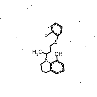 CC(CCSc1ccccc1F)N1CCCc2cccc(O)c21